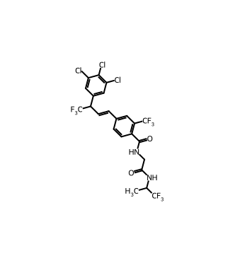 CC(NC(=O)CNC(=O)c1ccc(/C=C/C(c2cc(Cl)c(Cl)c(Cl)c2)C(F)(F)F)cc1C(F)(F)F)C(F)(F)F